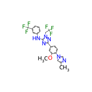 COc1cc(-c2nc(Nc3cccc(C(F)(F)F)c3)n(CC(F)(F)F)n2)ccc1-n1cnc(C)c1